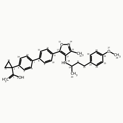 C=C(O)C1(c2ccc(-c3ccc(-c4onc(C)c4NC(C)CCc4ccc(OC)cc4)cc3)cc2)CC1